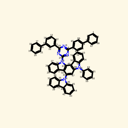 c1ccc(-c2ccc(-c3nc(-c4cccc(-c5ccccc5)c4)nc(-n4c5ccccc5c5c(-n6c7ccccc7c7ccccc76)cc6c(c7ccccc7n6-c6ccccc6)c54)n3)cc2)cc1